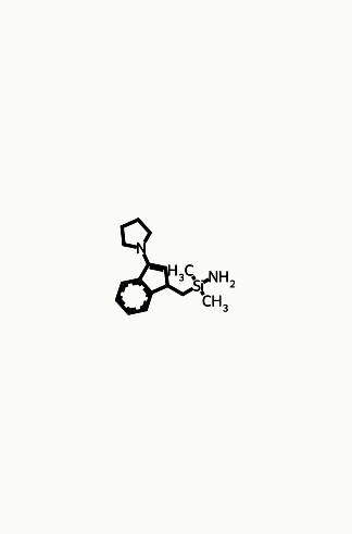 C[Si](C)(N)CC1C=C(N2CCCC2)c2ccccc21